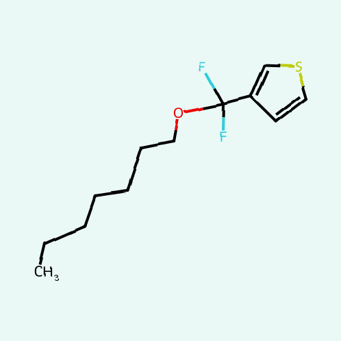 CCCCCCCOC(F)(F)c1ccsc1